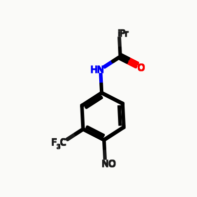 CC(C)C(=O)Nc1ccc(N=O)c(C(F)(F)F)c1